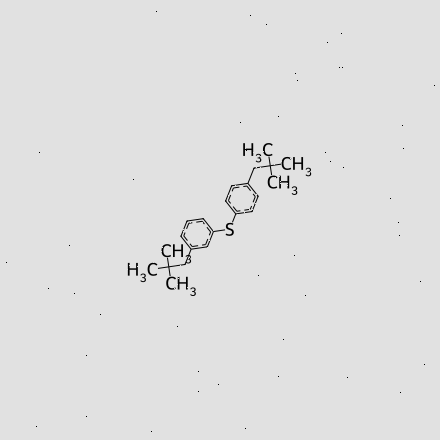 CC(C)(C)Cc1ccc(Sc2cccc(CC(C)(C)C)c2)cc1